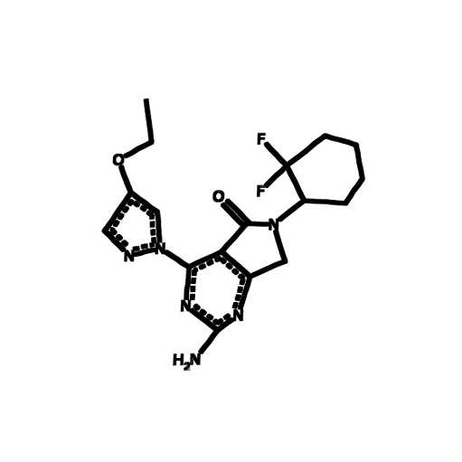 CCOc1cnn(-c2nc(N)nc3c2C(=O)N(C2CCCCC2(F)F)C3)c1